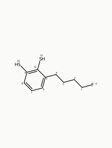 FCCCCc1cccc(S)c1S